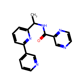 CC(NC(=O)c1cnccn1)c1cccc(-c2cccnc2)n1